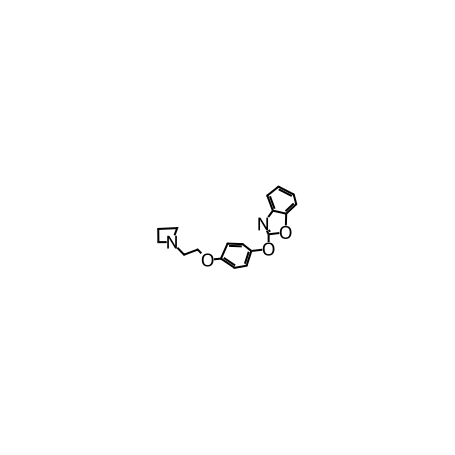 c1ccc2oc(Oc3ccc(OCCN4CCC4)cc3)nc2c1